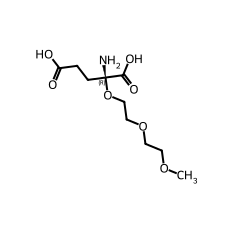 COCCOCCO[C@](N)(CCC(=O)O)C(=O)O